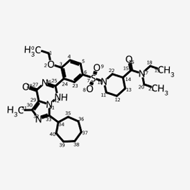 CCOc1ccc(S(=O)(=O)N2CCCC(C(=O)N(CC)CC)C2)cc1-c1nc(=O)c2c(C)nc(C3CCCCCC3)n2[nH]1